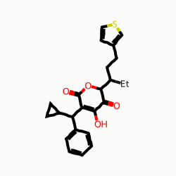 CCC(CCc1ccsc1)C1OC(=O)C(C(c2ccccc2)C2CC2)=C(O)C1=O